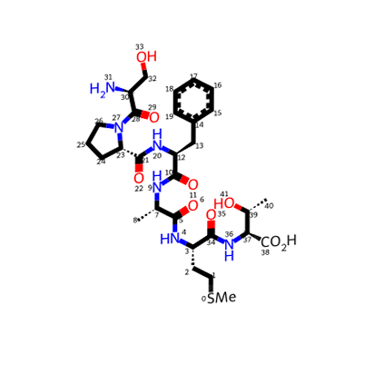 CSCC[C@H](NC(=O)[C@H](C)NC(=O)[C@H](Cc1ccccc1)NC(=O)[C@@H]1CCCN1C(=O)[C@@H](N)CO)C(=O)N[C@H](C(=O)O)[C@@H](C)O